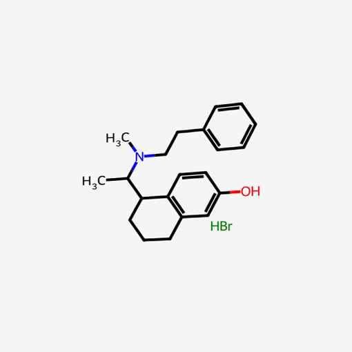 Br.CC(C1CCCc2cc(O)ccc21)N(C)CCc1ccccc1